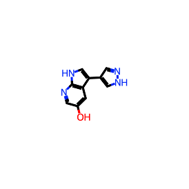 Oc1cnc2[nH]cc(-c3cn[nH]c3)c2c1